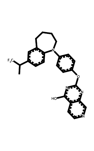 CC(c1ccc2c(c1)CCCCN2c1ccc(Oc2nc(O)c3ccncc3n2)cc1)C(F)(F)F